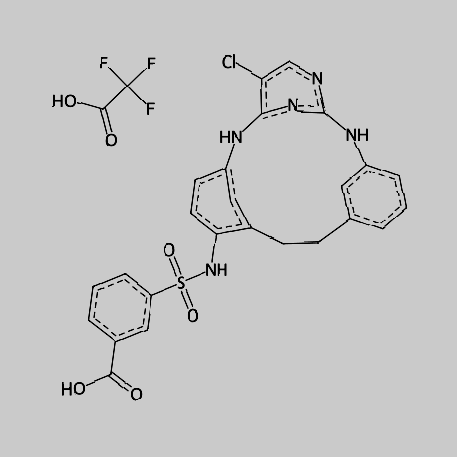 O=C(O)C(F)(F)F.O=C(O)c1cccc(S(=O)(=O)Nc2ccc3cc2CCc2cccc(c2)Nc2ncc(Cl)c(n2)N3)c1